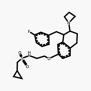 O=S(=O)(CC1CC1)NCCOc1ccc2c(c1)C(Cc1cccc(F)c1)C(N1CCC1)CC2